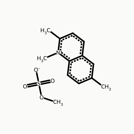 COS(=O)(=O)[O-].Cc1ccc2c(ccc(C)[n+]2C)c1